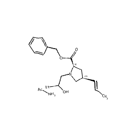 CC(N)=O.CC=C[C@@H]1C[C@H](C(=O)OCc2ccccc2)N(CC(O)CC)C1